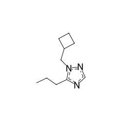 CCCc1ncnn1CC1CCC1